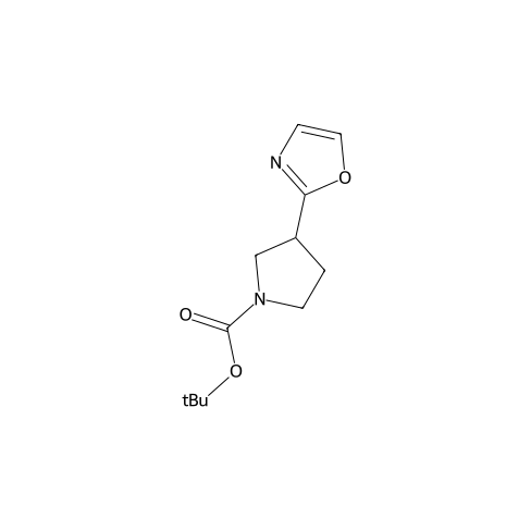 CC(C)(C)OC(=O)N1CCC(c2ncco2)C1